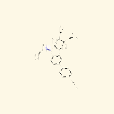 N#C/N=C1\c2ccc(-c3ccc(C#N)cc3)cc2-c2nc(C#N)c(C#N)nc21